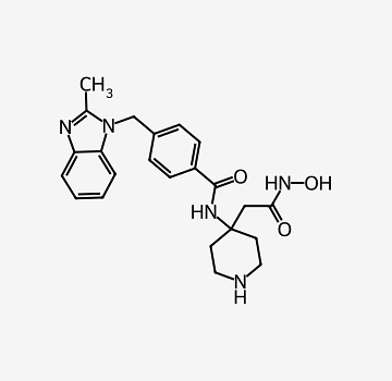 Cc1nc2ccccc2n1Cc1ccc(C(=O)NC2(CC(=O)NO)CCNCC2)cc1